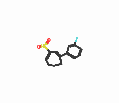 O=[SH](=O)C1=CCCCC(c2cccc(F)c2)=C1